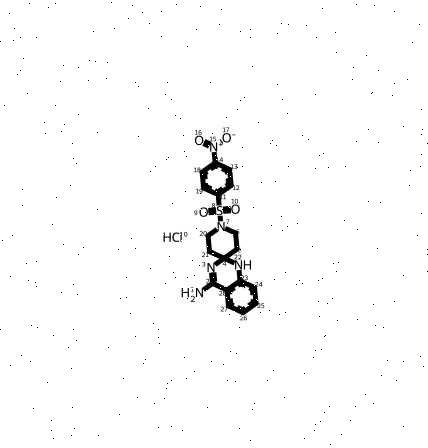 Cl.NC1=NC2(CCN(S(=O)(=O)c3ccc([N+](=O)[O-])cc3)CC2)Nc2ccccc21